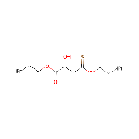 CC(C)CCOC(=O)C(O)CC(=S)OCCC(C)C